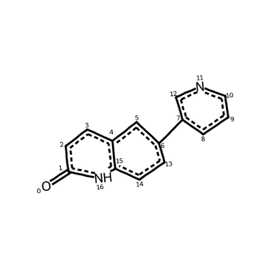 O=c1ccc2cc(-c3cccnc3)ccc2[nH]1